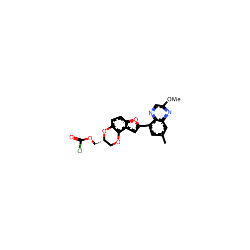 COc1cnc2c(-c3cc4c5c(ccc4o3)O[C@@H](COC(=O)Cl)CO5)cc(C)cc2n1